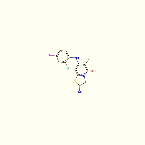 Cc1c(Nc2ccc(I)cc2F)cc2n(c1=O)CC(N)S2